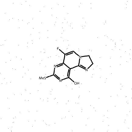 CSc1nc(O)c2c(n1)C(F)=CN1CCN=C21